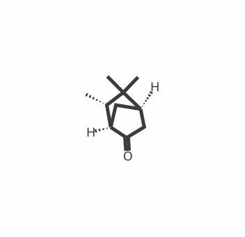 C[C@H]1[C@H]2C[C@H](CC2=O)C1(C)C